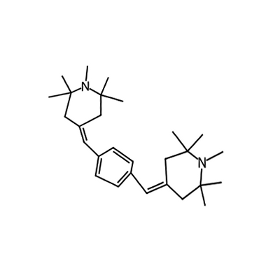 CN1C(C)(C)CC(=Cc2ccc(C=C3CC(C)(C)N(C)C(C)(C)C3)cc2)CC1(C)C